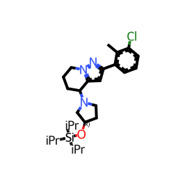 Cc1c(Cl)cccc1-c1cc2n(n1)CCCC2N1CC[C@@H](O[Si](C(C)C)(C(C)C)C(C)C)C1